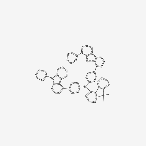 CC1(C)c2ccccc2-c2c(N(c3ccc(-c4cccc5c4oc4c(-c6ccccc6)cccc45)cc3)c3ccc(-c4cccc5c4c4ccccc4n5-c4ccccc4)cc3)cccc21